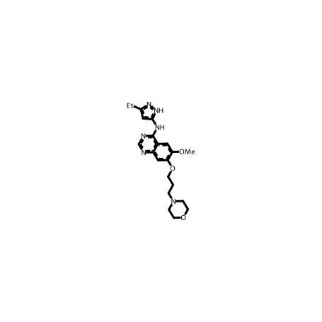 CCc1cc(Nc2ncnc3cc(OCCCN4CCOCC4)c(OC)cc23)[nH]n1